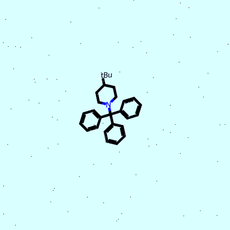 CC(C)(C)C1CCN(C(c2ccccc2)(c2ccccc2)c2ccccc2)CC1